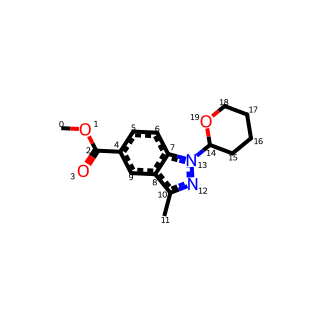 COC(=O)c1ccc2c(c1)c(C)nn2C1CCCCO1